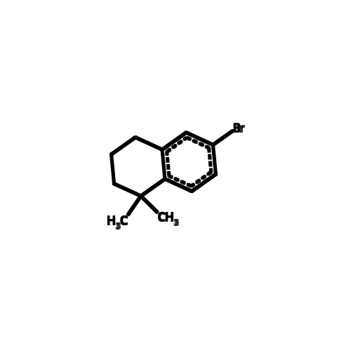 CC1(C)CCCc2cc(Br)ccc21